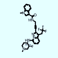 CN1CC[C@@H](Nc2cccc3c(CC(F)(F)F)c(C#CCNC(=O)c4cn(C)c5ccccc45)nn23)[C@@H](F)C1